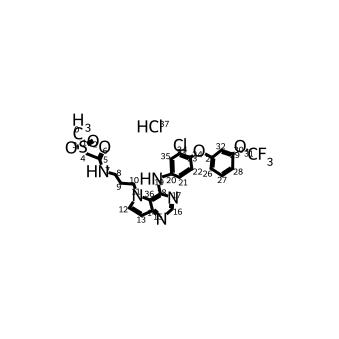 CS(=O)(=O)CC(=O)NCCCn1ccc2ncnc(Nc3ccc(Oc4cccc(OC(F)(F)F)c4)c(Cl)c3)c21.Cl